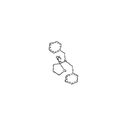 C[C@]1(N(Cc2ccccc2)Cc2ccccc2)CCCO1